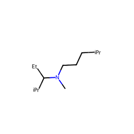 CCC(C(C)C)N(C)CCCC(C)C